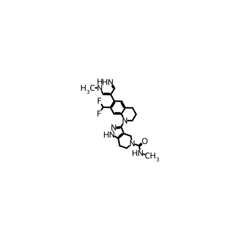 CN/C=C(\C=N)c1cc2c(cc1C(F)F)N(c1n[nH]c3c1CN(C(=O)NC)CC3)CCC2